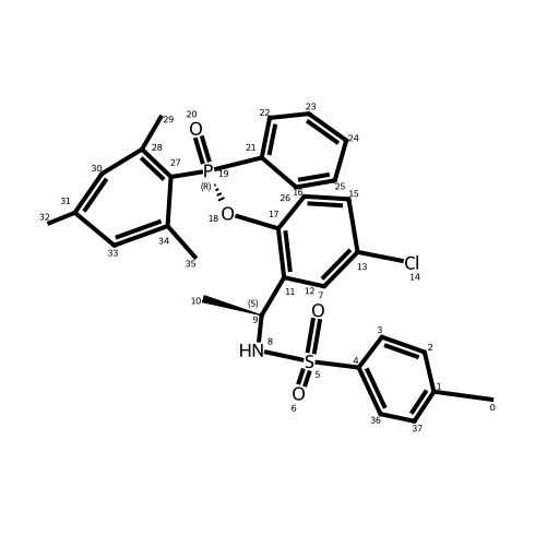 Cc1ccc(S(=O)(=O)N[C@@H](C)c2cc(Cl)ccc2O[P@](=O)(c2ccccc2)c2c(C)cc(C)cc2C)cc1